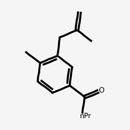 C=C(C)Cc1cc(C(=O)CCC)ccc1C